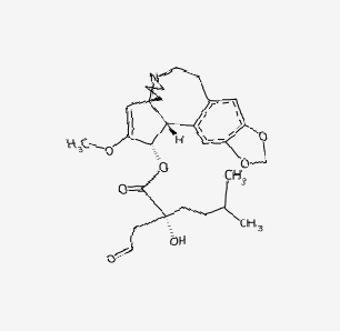 COC1=C[C@]23CCCN2CCc2cc4c(cc2[C@@H]3[C@@H]1OC(=O)[C@](O)(CC=O)CCC(C)C)OCO4